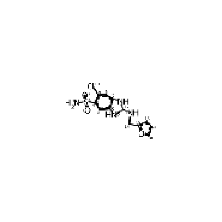 NS(=O)(=O)c1cc2c(cc1Cl)NC(NCc1ccco1)N2